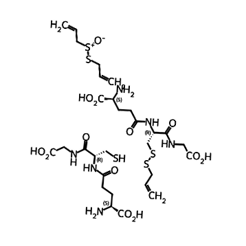 C=CCSSC[C@H](NC(=O)CC[C@H](N)C(=O)O)C(=O)NCC(=O)O.C=CCS[S+]([O-])CC=C.N[C@@H](CCC(=O)N[C@@H](CS)C(=O)NCC(=O)O)C(=O)O